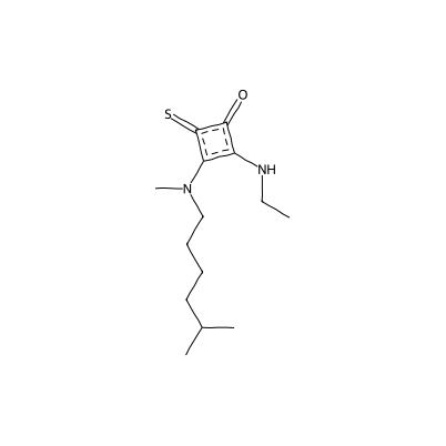 CCNc1c(N(C)CCCCC(C)C)c(=S)c1=O